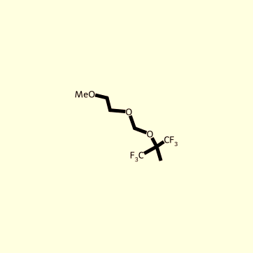 COCCOCOC(C)(C(F)(F)F)C(F)(F)F